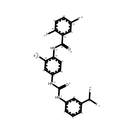 O=C(Nc1cccc(C(F)F)c1)Nc1ccc(NC(=O)c2cc(F)ccc2F)c(C(F)(F)F)c1